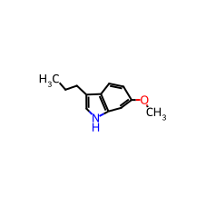 CCCc1c[nH]c2cc(OC)ccc12